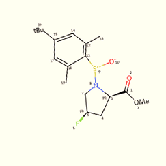 COC(=O)[C@H]1C[C@@H](F)CN1[S+]([O-])c1c(C)cc(C(C)(C)C)cc1C